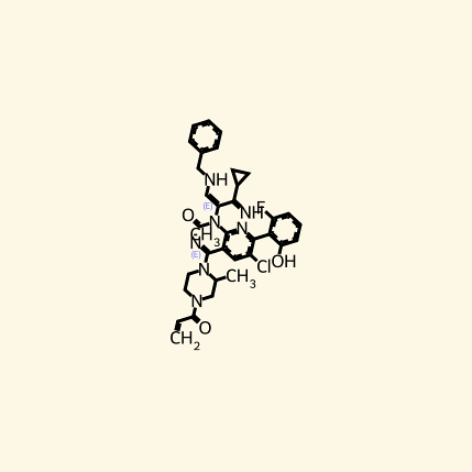 C=CC(=O)N1CCN(/C(=N/C)c2cc(Cl)c(-c3c(O)cccc3F)nc2N(C=O)/C(=C/NCc2ccccc2)C(=N)C2CC2)C(C)C1